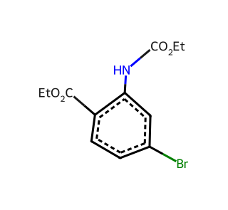 CCOC(=O)Nc1cc(Br)ccc1C(=O)OCC